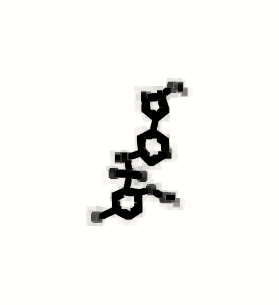 COc1ccc(Cl)cc1S(=O)(=O)Nc1cncc(-c2cnn(C)c2)c1